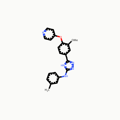 COc1cc(-c2nnc(Nc3cccc(C)c3)[nH]2)ccc1Oc1ccncc1